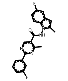 Cc1nc(-c2cccc(F)c2)ncc1C(=O)Nn1c(C)cc2cc(F)ccc21